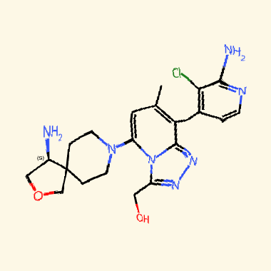 Cc1cc(N2CCC3(CC2)COC[C@H]3N)n2c(CO)nnc2c1-c1ccnc(N)c1Cl